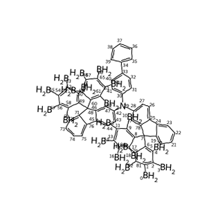 Bc1c(B)c(B)c(C2(c3c(B)c(B)c(B)c(B)c3B)c3ccccc3-c3ccc(N(c4ccc(-c5ccccc5)cc4)c4ccc5c(c4)C(c4c(B)c(B)c(B)c(B)c4B)(c4c(B)c(B)c(B)c(B)c4B)c4ccccc4-5)cc32)c(B)c1B